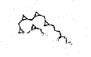 CCC1C[C@@H]1C[C@@H]1CC1CC1CC1CC1CC1CC1CC1CCCC(=O)OC